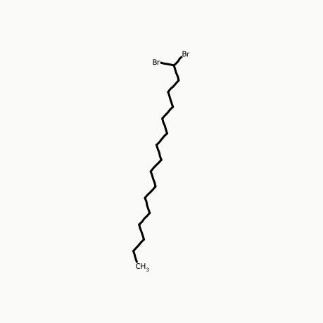 CCCCCCCCCCCCCCCC(Br)Br